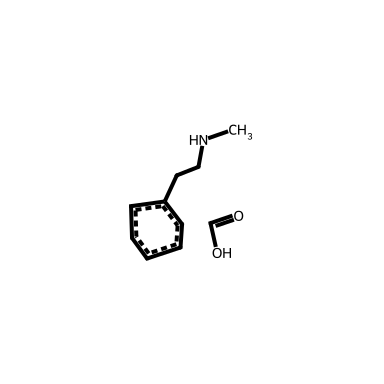 CNCCc1ccccc1.O=CO